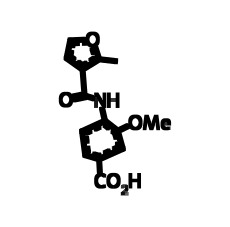 COc1cc(C(=O)O)ccc1NC(=O)c1ccoc1C